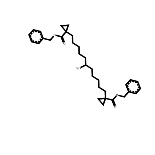 O=C(OCc1ccccc1)C1(CCCCCC(O)CCCCCC2(C(=O)OCc3ccccc3)CC2)CC1